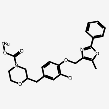 Cc1oc(-c2ccccc2)nc1COc1ccc(CC2CN(C(=O)OC(C)(C)C)CCO2)cc1Cl